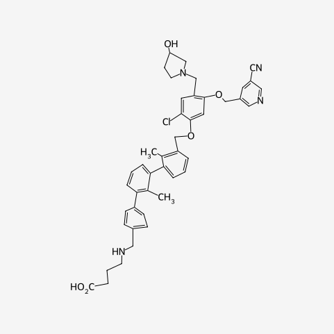 Cc1c(COc2cc(OCc3cncc(C#N)c3)c(CN3CCC(O)C3)cc2Cl)cccc1-c1cccc(-c2ccc(CNCCCC(=O)O)cc2)c1C